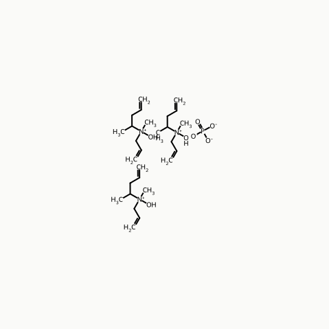 C=CCC(C)[N+](C)(O)CC=C.C=CCC(C)[N+](C)(O)CC=C.C=CCC(C)[N+](C)(O)CC=C.O=P([O-])([O-])[O-]